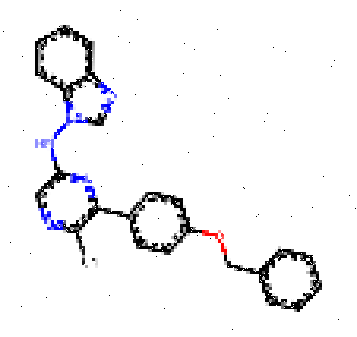 N#Cc1ncc(Nn2cnc3ccccc32)nc1-c1ccc(OCc2ccccc2)cc1